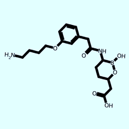 NCCCCOc1cccc(CC(=O)NC2CCC(CC(=O)O)OB2O)c1